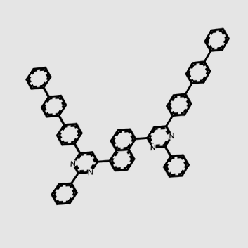 c1ccc(-c2ccc(-c3ccc(-c4cc(-c5cccc6c(-c7cc(-c8ccc(-c9ccc(-c%10ccccc%10)cc9)cc8)nc(-c8ccccc8)n7)cccc56)nc(-c5ccccc5)n4)cc3)cc2)cc1